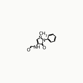 Cn1cc(NC=O)c(=O)n1-c1ccccc1